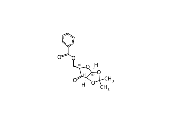 CC1(C)O[C@@H]2O[C@H](COC(=O)c3ccccc3)C(=O)[C@@H]2O1